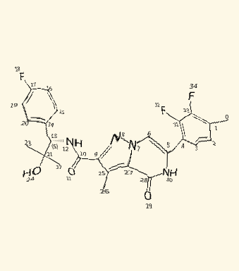 Cc1ccc(-c2cn3nc(C(=O)N[C@@H](c4ccc(F)cc4)C(C)(C)O)c(C)c3c(=O)[nH]2)c(F)c1F